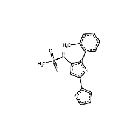 Cc1ccccc1-n1nc(-c2cccs2)cc1NS(C)(=O)=O